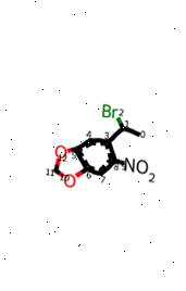 CC(Br)c1cc2c(cc1[N+](=O)[O-])OCO2